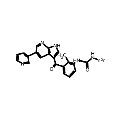 CCCNC(=O)Nc1cccc(C(=O)c2c[nH]c3ncc(-c4cccnc4)cc23)c1C